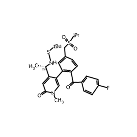 CC(C)S(=O)(=O)Cc1ccc(C(=O)c2ccc(F)cc2)c(-c2cn(C)c(=O)cc2[C@H](C)NSC(C)(C)C)c1